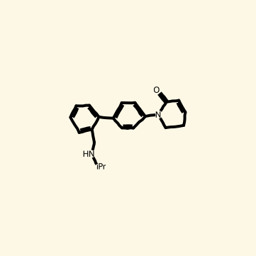 CC(C)NCc1ccccc1-c1ccc(N2CCC=CC2=O)cc1